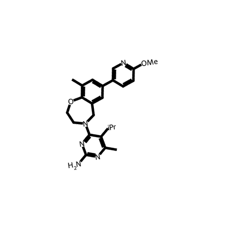 COc1ccc(-c2cc(C)c3c(c2)CN(c2nc(N)nc(C)c2C(C)C)CCO3)cn1